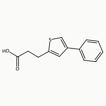 O=C(O)CCc1cc(-c2ccccc2)cs1